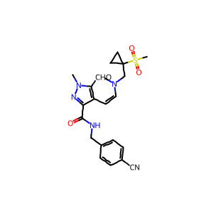 CN(/C=C\c1c(C(=O)NCc2ccc(C#N)cc2)nn(C)c1C=O)CC1(S(C)(=O)=O)CC1